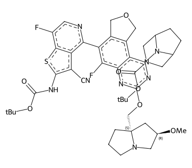 CO[C@H]1CN2CCC[C@@]2(COc2nc(N3C4CCC3CN(C(=O)OC(C)(C)C)C4)c3c4c(c(-c5ncc(F)c6sc(NC(=O)OC(C)(C)C)c(C#N)c56)c(F)c3n2)COC4)C1